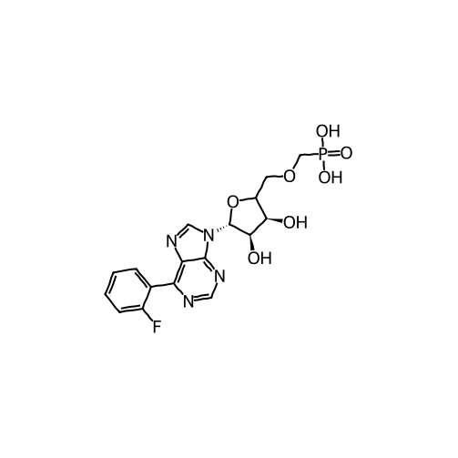 O=P(O)(O)COCC1O[C@@H](n2cnc3c(-c4ccccc4F)ncnc32)[C@H](O)[C@@H]1O